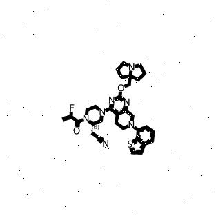 C=C(F)C(=O)N1CCN(c2nc(OCC34CCCN3CCC4)nc3c2CCN(c2cccc4ccsc24)C3)C[C@@H]1CC#N